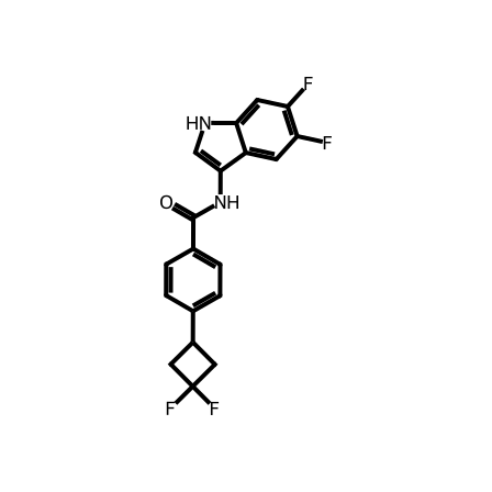 O=C(Nc1c[nH]c2cc(F)c(F)cc12)c1ccc(C2CC(F)(F)C2)cc1